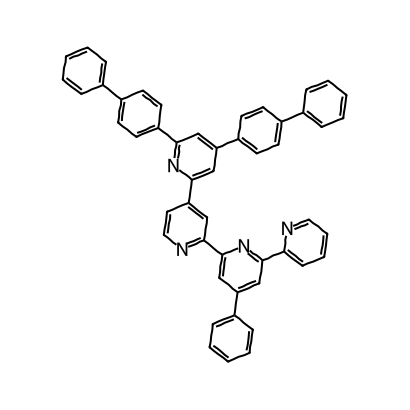 c1ccc(-c2ccc(-c3cc(-c4ccc(-c5ccccc5)cc4)nc(-c4ccnc(-c5cc(-c6ccccc6)cc(-c6ccccn6)n5)c4)c3)cc2)cc1